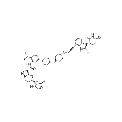 Cn1c(=O)n(C2CCC(=O)NC2=O)c2cccc(C#CCOC3CCN(C[C@H]4CC[C@@H](c5ccc(C(F)F)c(NC(=O)c6cnn7ccc(N8C[C@H]9C[C@@H]8CO9)nc67)c5)CC4)CC3)c21